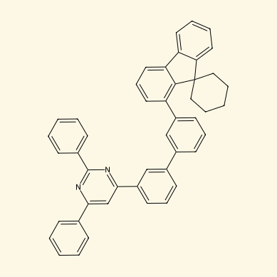 c1ccc(-c2cc(-c3cccc(-c4cccc(-c5cccc6c5C5(CCCCC5)c5ccccc5-6)c4)c3)nc(-c3ccccc3)n2)cc1